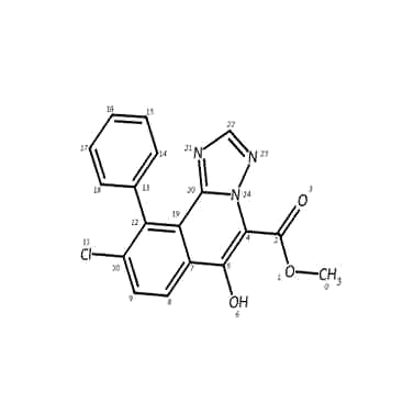 COC(=O)c1c(O)c2ccc(Cl)c(-c3ccccc3)c2c2ncnn12